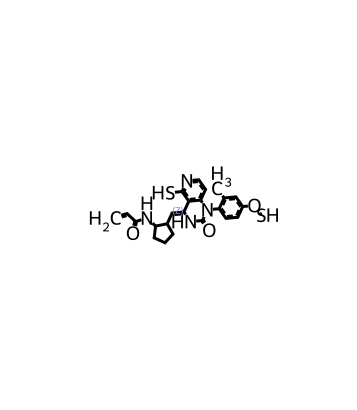 C=CC(=O)NC1CCCC1/C=C1\NC(=O)N(c2ccc(OS)cc2C)c2ccnc(S)c21